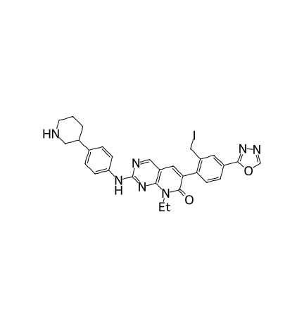 CCn1c(=O)c(-c2ccc(-c3nnco3)cc2CI)cc2cnc(Nc3ccc(C4CCCNC4)cc3)nc21